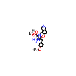 CCOC(OCC)[C@H](C)N(Cc1cccc2cnccc12)C(=O)[C@@H](N)Cc1ccc(OC(C)(C)C)cc1